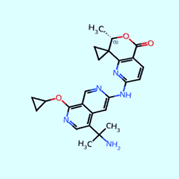 C[C@@H]1OC(=O)c2ccc(Nc3cc4c(C(C)(C)N)cnc(OC5CC5)c4cn3)nc2C12CC2